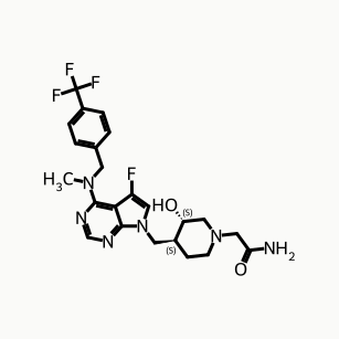 CN(Cc1ccc(C(F)(F)F)cc1)c1ncnc2c1c(F)cn2C[C@@H]1CCN(CC(N)=O)C[C@H]1O